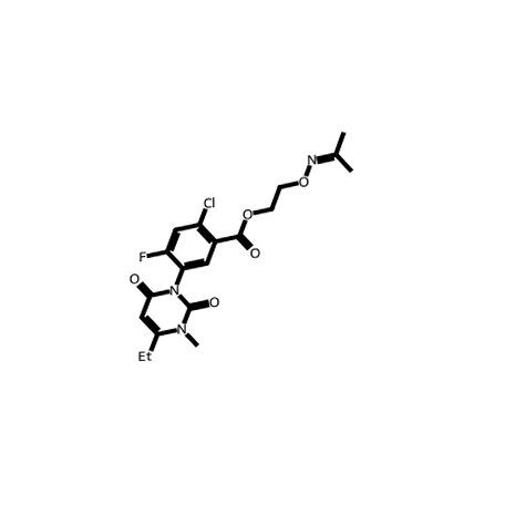 CCc1cc(=O)n(-c2cc(C(=O)OCCON=C(C)C)c(Cl)cc2F)c(=O)n1C